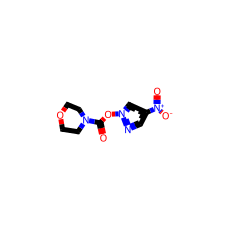 O=C(On1cc([N+](=O)[O-])cn1)N1CCOCC1